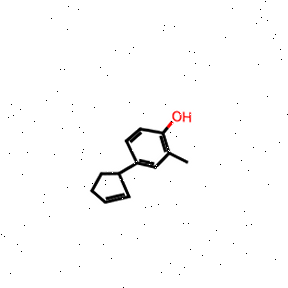 Cc1cc(C2C=CCC2)ccc1O